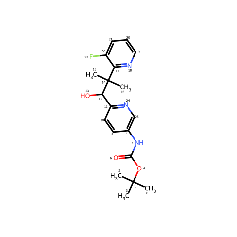 CC(C)(C)OC(=O)Nc1ccc(C(O)C(C)(C)c2ncccc2F)nc1